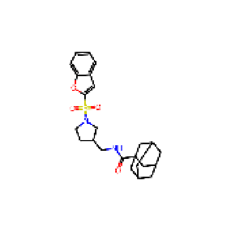 O=C(NCC1CCN(S(=O)(=O)c2cc3ccccc3o2)C1)C12CC3CC(CC(C3)C1)C2